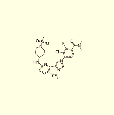 CN(C)C(=O)c1ccc(-n2cnc(-c3nc(NC4CCN(S(C)(=O)=O)CC4)ncc3C(F)(F)F)c2)c(Cl)c1F